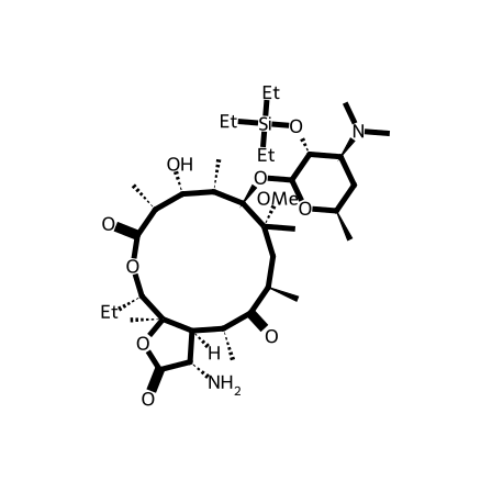 CC[C@@H]1OC(=O)[C@H](C)[C@H](O)[C@H](C)[C@@H](OC2O[C@H](C)C[C@H](N(C)C)[C@H]2O[Si](CC)(CC)CC)[C@](C)(OC)C[C@@H](C)C(=O)[C@H](C)[C@H]2[C@H](N)C(=O)O[C@]21C